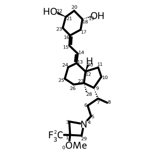 COC1(C(F)(F)F)CN(CCC(C)[C@H]2CC[C@H]3/C(=C/C=C4C[C@@H](O)C[C@H](O)C4)CCC[C@]23C)C1